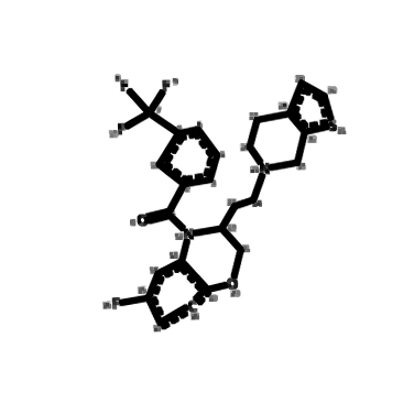 O=C(c1cccc(C(F)(F)F)c1)N1c2cc(F)ccc2OCC1CCN1CCc2ccsc2C1